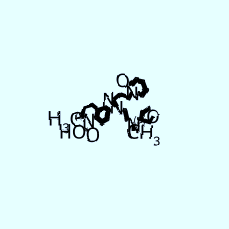 C[C@H]1CCc2c(ccc3c2nc(CCn2ccccc2=O)n3CCN(C)[C@H]2CCOC2)N1C(=O)O